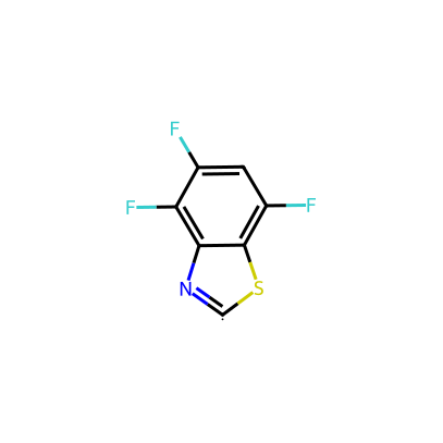 Fc1cc(F)c2s[c]nc2c1F